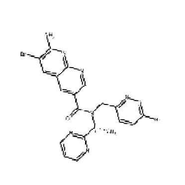 C[C@H](c1ncccn1)N(Cc1ccc(Br)nn1)C(=O)c1cnc2nc(N)c(Br)cc2c1